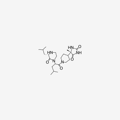 CC(C)CC(C(=O)N1CCC([C@]2(C)NC(=O)NC2=O)CC1)N1CCN[C@@H](CC(C)C)C1=O